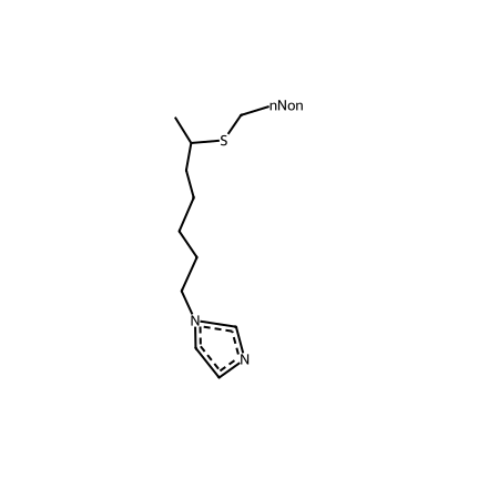 CCCCCCCCCCSC(C)CCCCCn1ccnc1